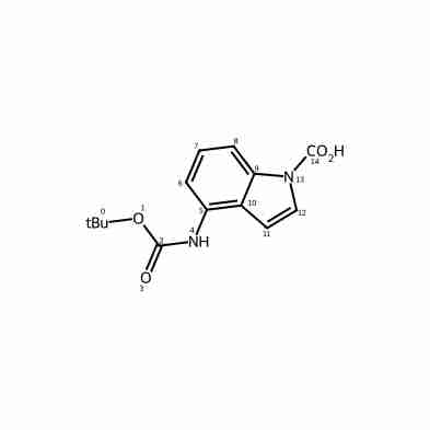 CC(C)(C)OC(=O)Nc1cccc2c1ccn2C(=O)O